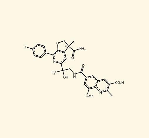 COc1cc(C(=O)NCC(O)(c2cc3c(c(-c4ccc(F)cc4)n2)OC[C@]3(C)C(N)=O)C(F)(F)F)cc2cc(C(=O)O)c(C)nc12